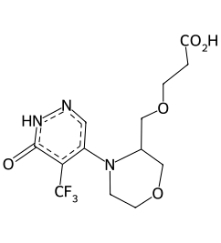 O=C(O)CCOCC1COCCN1c1cn[nH]c(=O)c1C(F)(F)F